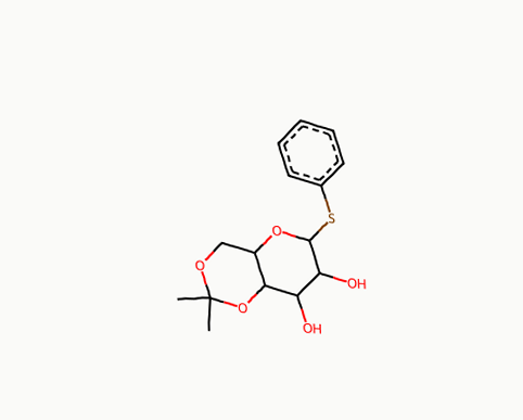 CC1(C)OCC2OC(Sc3ccccc3)C(O)C(O)C2O1